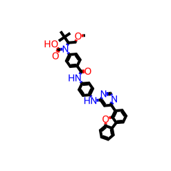 COCC(N(C(=O)O)c1ccc(C(=O)Nc2ccc(Nc3cc(-c4cccc5c4oc4ccccc45)ncn3)cc2)cc1)C(C)(C)C